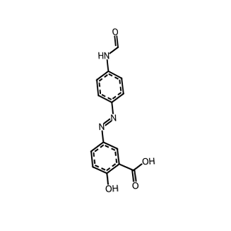 O=CNc1ccc(N=Nc2ccc(O)c(C(=O)O)c2)cc1